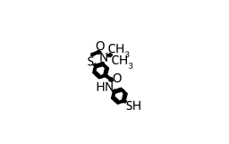 CC(C)N1C(=O)CSc2ccc(C(=O)Nc3ccc(S)cc3)cc21